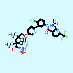 Cc1nc(C(F)(F)F)ccc1C(=O)Nc1ccc(Cl)c(-c2ccc(OCC(C)(C)CC(C)(C)C(=O)NO)cn2)c1